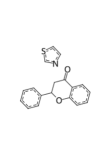 O=C1CC(c2ccccc2)Oc2ccccc21.c1cscn1